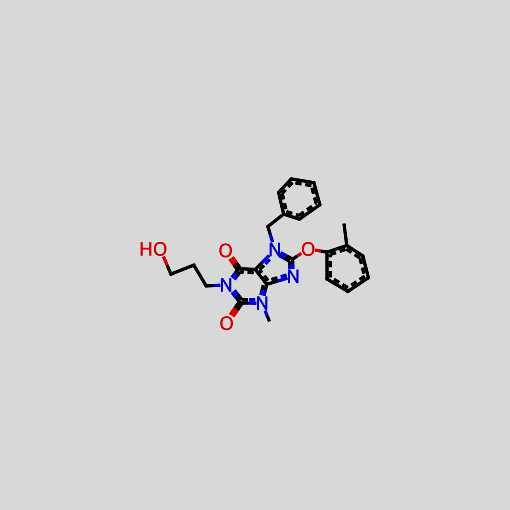 Cc1ccccc1Oc1nc2c(c(=O)n(CCCO)c(=O)n2C)n1Cc1ccccc1